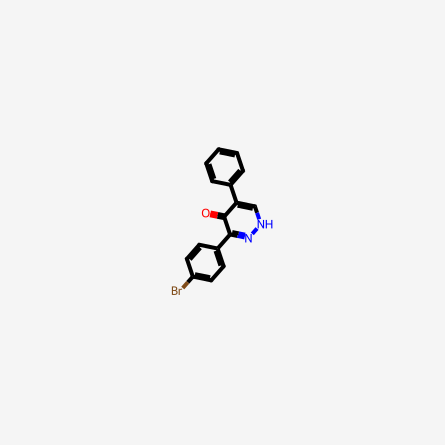 O=c1c(-c2ccccc2)c[nH]nc1-c1ccc(Br)cc1